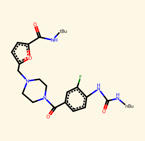 CCCCNC(=O)Nc1ccc(C(=O)N2CCN(Cc3ccc(C(=O)NC(C)(C)C)o3)CC2)cc1F